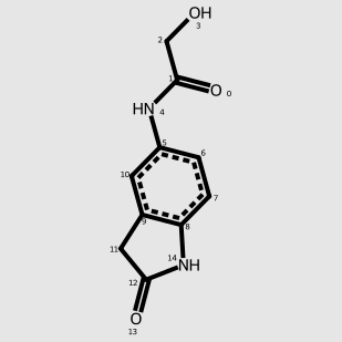 O=C(CO)Nc1ccc2c(c1)CC(=O)N2